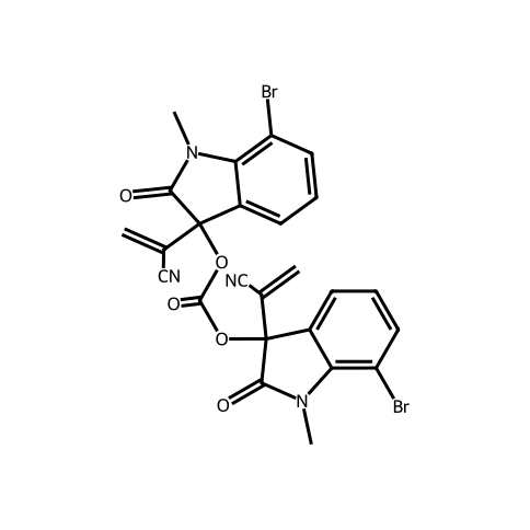 C=C(C#N)C1(OC(=O)OC2(C(=C)C#N)C(=O)N(C)c3c(Br)cccc32)C(=O)N(C)c2c(Br)cccc21